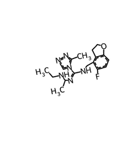 CCNC(C)/N=C(/NCc1c(F)ccc2c1CCO2)n1cnnc1C